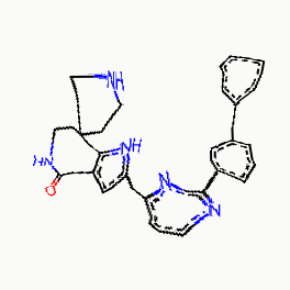 O=C1NCC2(CCNCC2)c2[nH]c(-c3ccnc(-c4cccc(-c5ccccc5)c4)n3)cc21